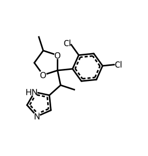 CC1COC(c2ccc(Cl)cc2Cl)(C(C)c2cnc[nH]2)O1